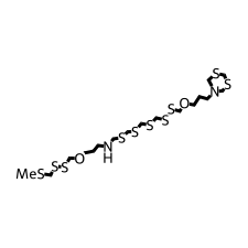 CSCSSCOCCCNCSCSCSCSSCOCCCN1CSCSC1